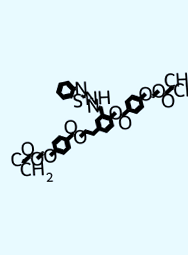 C=C(C)C(=O)OCOc1ccc(C(=O)OCCc2ccc(OC(=O)c3ccc(OCOC(=O)C(=C)C)cc3)c(/C=N/Nc3nc4ccccc4s3)c2)cc1